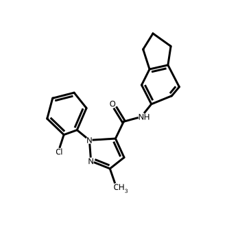 Cc1cc(C(=O)Nc2ccc3c(c2)CCC3)n(-c2ccccc2Cl)n1